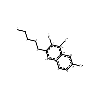 CCCCCc1nc2ccc(Br)cc2c(I)c1F